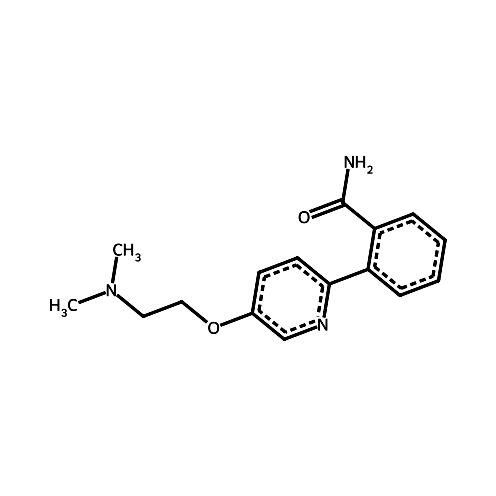 CN(C)CCOc1ccc(-c2ccccc2C(N)=O)nc1